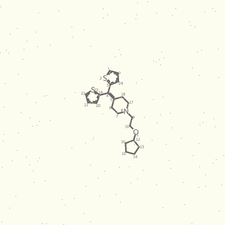 c1csc(C(=C2CCN(CCOC3CCCC3)CC2)c2cccs2)c1